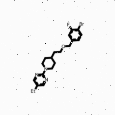 CCc1cnc(N2CCC(CCOCc3ccc(Br)c(F)c3)CC2)nc1